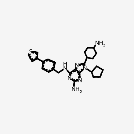 Nc1nc(NCc2ccc(-c3ccsc3)cc2)c2nc(C3CCC(N)CC3)n(C3CCCC3)c2n1